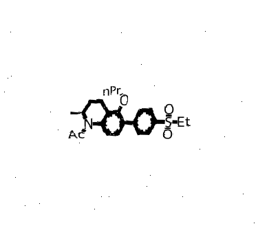 CCCOc1c(-c2ccc(S(=O)(=O)CC)cc2)ccc2c1CC[C@H](C)N2C(C)=O